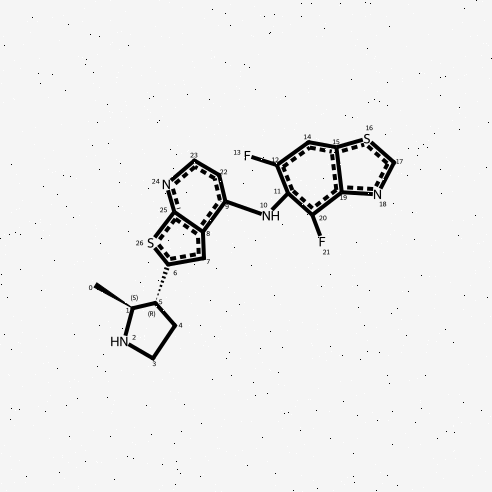 C[C@@H]1NCC[C@H]1c1cc2c(Nc3c(F)cc4scnc4c3F)ccnc2s1